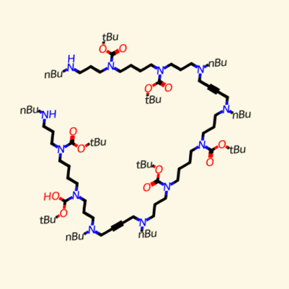 CCCCNCCCN(CCCCN(CCCN(CC#CCN(CCCC)CCCN(CCCCN(CCCN(CC#CCN(CCCC)CCCN(CCCCN(CCCNCCCC)C(=O)OC(C)(C)C)C(O)OC(C)(C)C)CCCC)C(=O)OC(C)(C)C)C(=O)OC(C)(C)C)CCCC)C(=O)OC(C)(C)C)C(=O)OC(C)(C)C